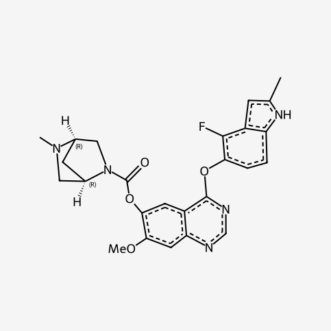 COc1cc2ncnc(Oc3ccc4[nH]c(C)cc4c3F)c2cc1OC(=O)N1C[C@H]2C[C@@H]1CN2C